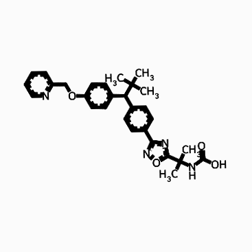 CC(C)(NC(=O)O)c1nc(-c2ccc(C(c3ccc(OCc4ccccn4)cc3)C(C)(C)C)cc2)no1